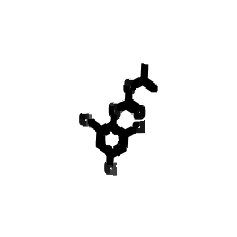 CC(C)OC(=O)Oc1c(Cl)cc(Cl)cc1Cl